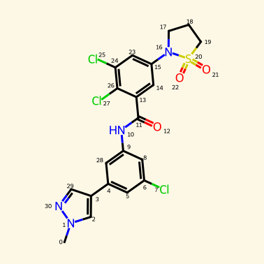 Cn1cc(-c2cc(Cl)cc(NC(=O)c3cc(N4CCCS4(=O)=O)cc(Cl)c3Cl)c2)cn1